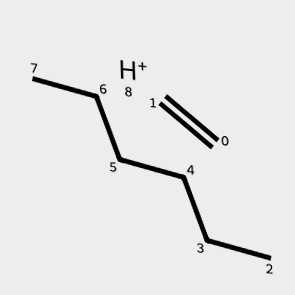 C=C.CCCCCC.[H+]